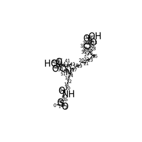 C=CS(=O)(=O)CCNC(=O)CCCCCN1/C(=C/C=C/C=C/C=C/C(=C)C(C)(C)c2cc(S(=O)(=O)O)ccc2C)C(C)(C)c2cc(S(=O)(=O)O)ccc21